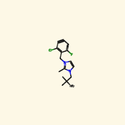 CCCC(C)(C)Cn1cc[n+](Cc2c(Cl)c#ccc2F)c1C